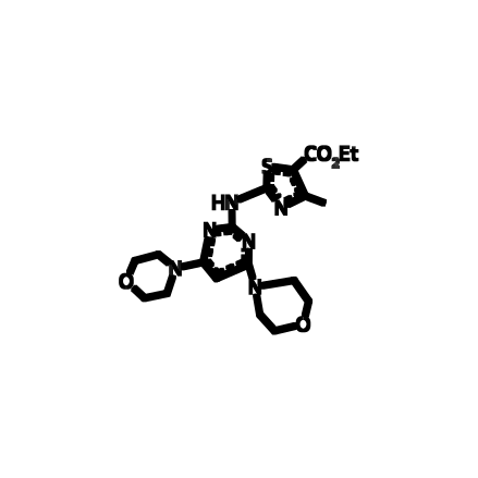 CCOC(=O)c1sc(Nc2nc(N3CCOCC3)cc(N3CCOCC3)n2)nc1C